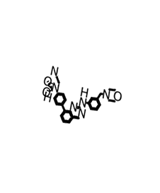 N#CCN(c1ccc(-c2cccc3cnc(Nc4cccc(CN5CCOCC5)c4)nc23)cc1)[SH](=O)=O